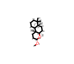 CO[C@@H]1CC[C@@H]2[C@@]3(C)CCCC(C)(C)[C@@H]3CC[C@@]2(C)O1